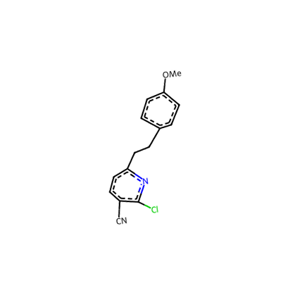 COc1ccc(CCc2ccc(C#N)c(Cl)n2)cc1